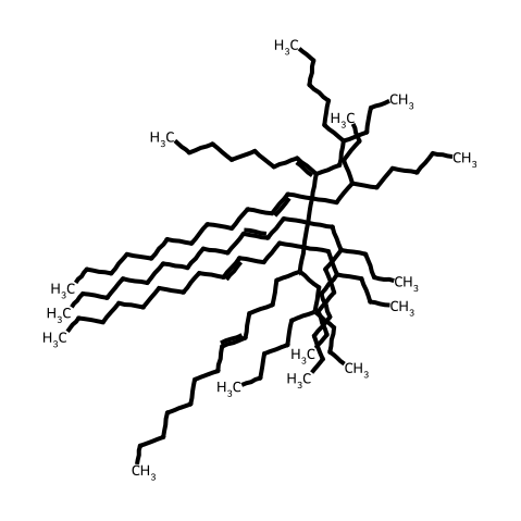 CCCCCCC=C(CC(CCC)CCCCC)C(C=CCCCCCCCCCC)(CC(CCC)CCCCC)C(CC=CCCCCCCCCC)(CC(CCC)CCCCC)C(CCC=CCCCCCCCC)(CC(CCC)CCCCC)[C](CCCC=CCCCCCCC)CC(CCC)CCCCC